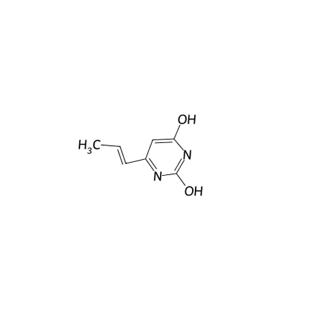 C/C=C/c1cc(O)nc(O)n1